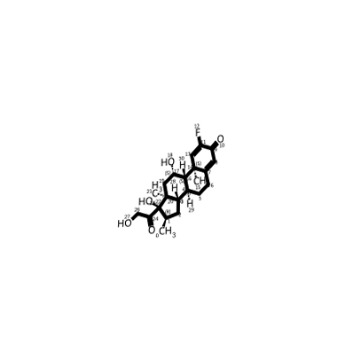 C[C@@H]1C[C@H]2[C@@H]3CCC4=CC(=O)C(F)=C[C@]4(C)[C@H]3[C@@H](O)C[C@]2(C)[C@@]1(O)C(=O)CO